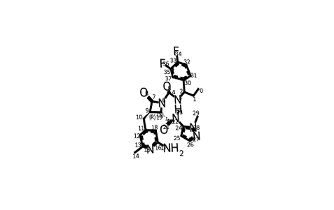 CCC(NC(=O)N1C(=O)[C@H](Cc2cc(C)nc(N)c2)[C@H]1C(=O)N(C)c1ccnn1C)c1ccc(F)c(F)c1